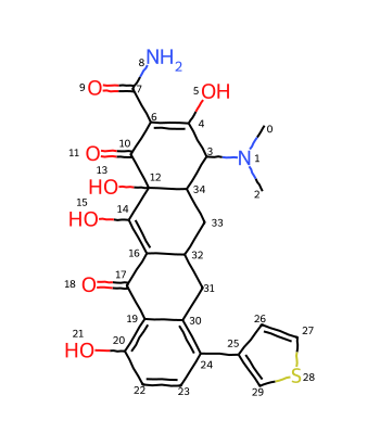 CN(C)C1C(O)=C(C(N)=O)C(=O)C2(O)C(O)=C3C(=O)c4c(O)ccc(-c5ccsc5)c4CC3CC12